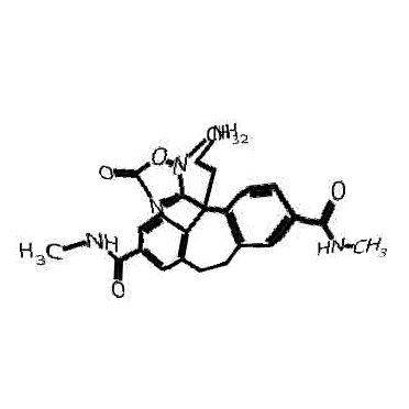 CNC(=O)c1ccc2c(c1)CCc1cc(C(=O)NC)ccc1C2(CCN)c1nc(=O)on1C